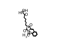 COc1ccccc1C=C1NC(=O)N(CCCCCC(=O)NO)C1=O